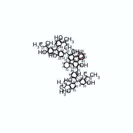 CCC(C)c1cc(C(c2ccc(O)c(C(C)CC)c2)c2cc(Cc3cc(C4(c5cc(Cc6ccc(O)c(C(c7ccc(O)c(C(C)CC)c7)c7ccc(O)c(C(C)CC)c7)c6)c(O)c(C6CCCCC6)c5)CCCCC4)cc(C4CCCCC4)c3O)ccc2O)ccc1O